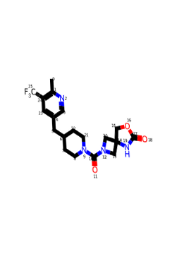 Cc1ncc(CC2CCN(C(=O)N3CC4(COC(=O)N4)C3)CC2)cc1C(F)(F)F